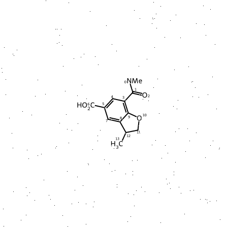 CNC(=O)c1cc(C(=O)O)cc2c1OCC2C